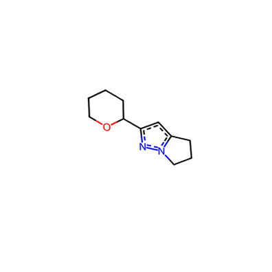 c1c(C2CCCCO2)nn2c1CCC2